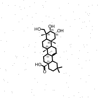 CC1(C)CC[C@]2(C(=O)O)CC[C@]3(C)C(=CCC4[C@@]5(C)C[C@@H](O)[C@H](O)[C@@](C)(CO)C5CC[C@]43C)C2C1